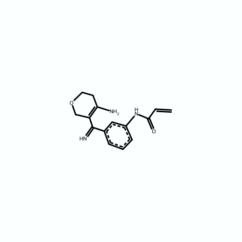 C=CC(=O)Nc1cccc(C(=N)C2=C(N)CCOC2)c1